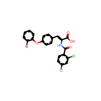 O=C(O)C(=Cc1ccc(Oc2ccccc2Br)cc1)NC(=O)c1ccc(Cl)cc1Cl